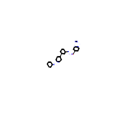 CN(Cc1cccc(-c2ccc(Nc3cccc(C(=O)O)c3)cc2)c1)C(=O)c1ccc2nccnc2c1